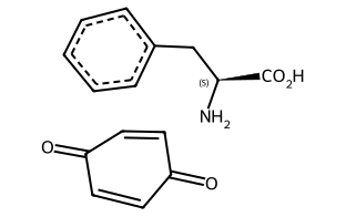 N[C@@H](Cc1ccccc1)C(=O)O.O=C1C=CC(=O)C=C1